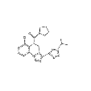 CC(C)c1nc(-c2ncn3c2CN(C(=O)N2CCCC2)c2c(Cl)cccc2-3)no1